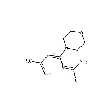 C=C(C)/C=C(\N=C(/N)Cl)N1CCOCC1